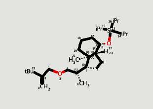 C=C(COC[C@@H](C)[C@H]1CC[C@H]2[C@@H](O[Si](C(C)C)(C(C)C)C(C)C)CCC[C@]12C)C(C)(C)C